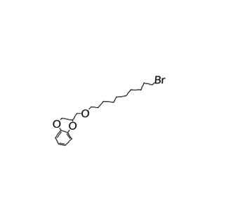 BrCCCCCCCCCCOCC1COc2ccccc2O1